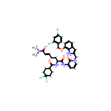 CN(C)C(=O)C=CCCC(NC(=O)C1CCC(F)(F)CC1)C(=O)Nc1cccn(Cc2cc3cccc(OCc4ccc(F)cc4F)c3[nH]2)c1=O